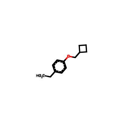 O=C(O)Cc1ccc(OCC2CCC2)cc1